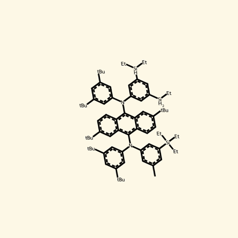 CC[SiH2]c1cc(N(c2cc(C(C)(C)C)cc(C(C)(C)C)c2)c2c3ccc(C(C)(C)C)cc3c(N(c3cc(C(C)(C)C)cc(C(C)(C)C)c3)c3cc(C)cc([Si](CC)(CC)CC)c3)c3ccc(C(C)(C)C)cc23)cc([SiH](CC)CC)c1